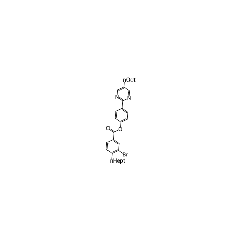 CCCCCCCCc1cnc(-c2ccc(OC(=O)c3ccc(CCCCCCC)c(Br)c3)cc2)nc1